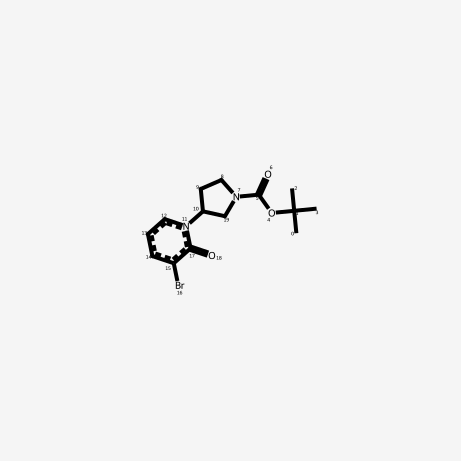 CC(C)(C)OC(=O)N1CCC(n2cccc(Br)c2=O)C1